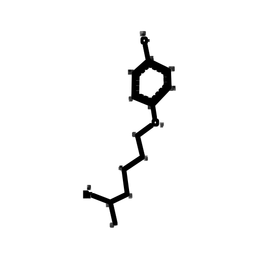 CC(Br)CCCCOc1ccc([O])cc1